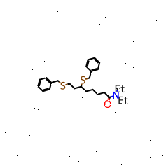 CCN(CC)C(=O)CCCCC(CCSCc1ccccc1)SCc1ccccc1